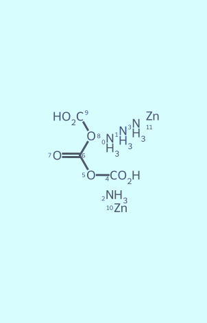 N.N.N.N.O=C(O)OC(=O)OC(=O)O.[Zn].[Zn]